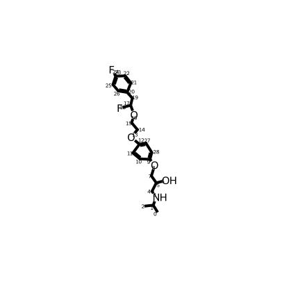 CC(C)NCC(O)COc1ccc(OCCOC(F)Cc2ccc(F)cc2)cc1